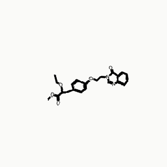 CCOC(Cc1ccc(OCCn2cnc3ccccc3c2=O)cc1)C(=O)OC